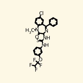 CN1C(=O)C(NC(=S)Nc2cccc(OC(F)(F)C(F)F)c2)N=C(c2ccccc2)c2cc(Cl)ccc21